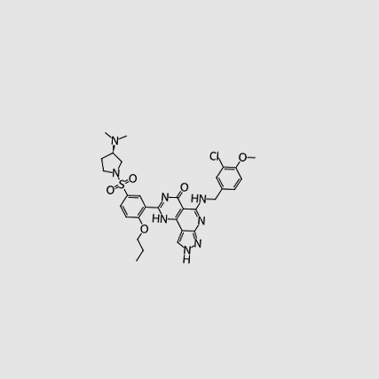 CCCOc1ccc(S(=O)(=O)N2CC[C@@H](N(C)C)C2)cc1-c1nc(=O)c2c(NCc3ccc(OC)c(Cl)c3)nc3n[nH]cc3c2[nH]1